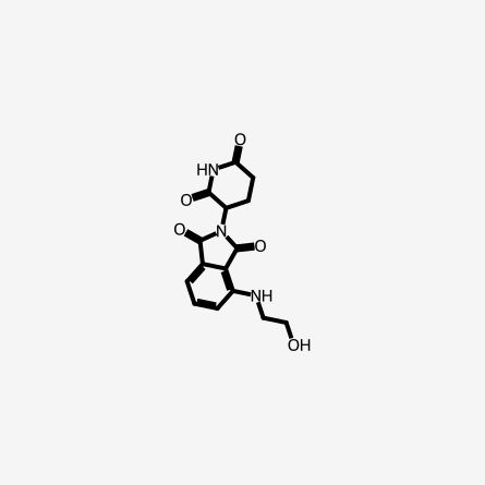 O=C1CCC(N2C(=O)c3cccc(NCCO)c3C2=O)C(=O)N1